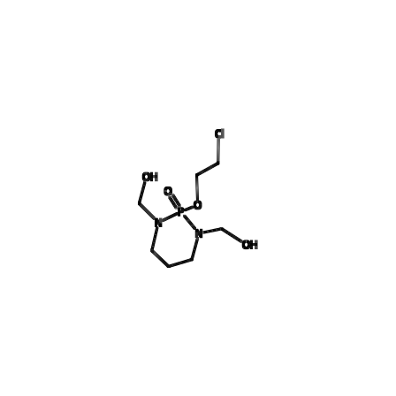 O=P1(OCCCl)N(CO)CCCN1CO